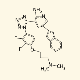 CN(C)CCCOc1ccc(-n2nnnc2-c2cc(-c3cc4ccccc4s3)cnc2N)c(F)c1F